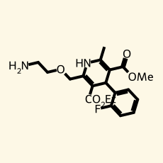 CCOC(=O)C1=C(COCCN)NC(C)=C(C(=O)OC)C1c1ccccc1F